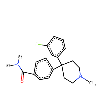 CCN(CC)C(=O)c1ccc(C2(c3cccc(F)c3)CCN(C)CC2)cc1